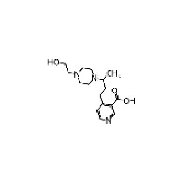 CC(CCc1ccncc1C(=O)O)N1CCN(CCO)CC1